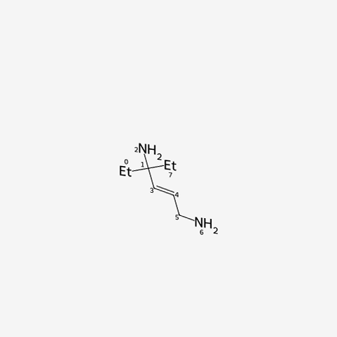 CCC(N)(C=CCN)CC